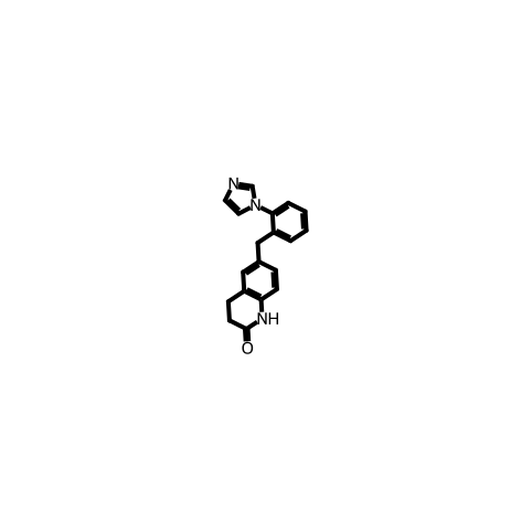 O=C1CCc2cc(Cc3ccccc3-n3ccnc3)ccc2N1